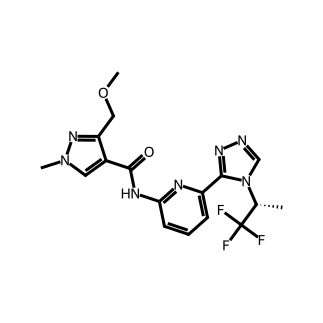 COCc1nn(C)cc1C(=O)Nc1cccc(-c2nncn2[C@H](C)C(F)(F)F)n1